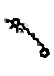 Cc1c(Br)ccc(NCCCOCCOCc2ccccc2)c1[N+](=O)[O-]